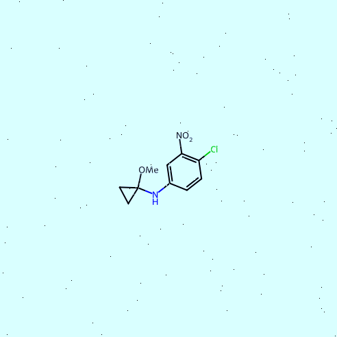 COC1(Nc2ccc(Cl)c([N+](=O)[O-])c2)CC1